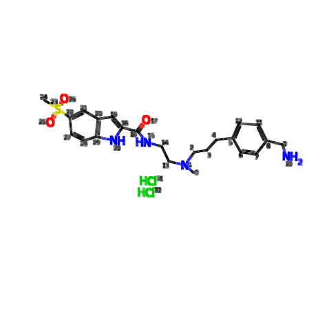 CN(CCCc1ccc(CN)cc1)CCNC(=O)c1cc2cc(S(C)(=O)=O)ccc2[nH]1.Cl.Cl